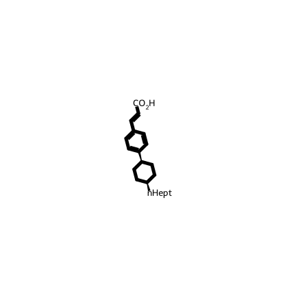 CCCCCCC[C@H]1CC[C@@H](c2ccc(/C=C/C(=O)O)cc2)CC1